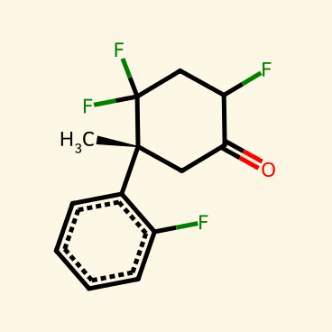 C[C@]1(c2ccccc2F)CC(=O)C(F)CC1(F)F